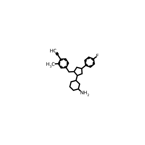 C#Cc1ccc(CC2CC(c3ccc(F)cc3)CC2C2CCCC(N)C2)cc1C